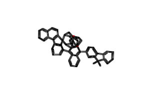 CC1(C)c2ccccc2-c2ccc(-c3c4ccccc4c(-c4cccc5c4C4(c6ccc7ccccc7c6-5)C5CC6CC(C5)CC4C6)c4ccccc34)cc21